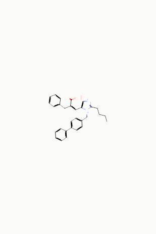 CCCCc1ncc(C=C(Cc2ccccc2)C(=O)O)n1Cc1ccc(-c2ccccc2)cc1